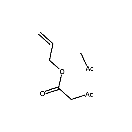 C=CCOC(=O)CC(C)=O.CC(C)=O